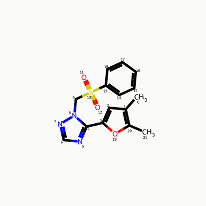 Cc1cc(-c2ncnn2CS(=O)(=O)c2ccccc2)oc1C